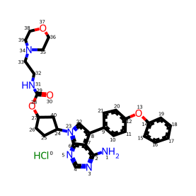 Cl.Nc1ncnc2c1c(-c1ccc(Oc3ccccc3)cc1)cn2C1CCC(OC(=O)NCCN2CCOCC2)C1